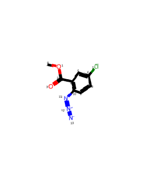 COC(=O)c1cc(Cl)ccc1N=[N+]=[N-]